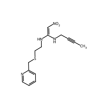 CC#CCNC(=C[N+](=O)[O-])NCCSCc1ccccn1